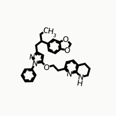 CCC(Cc1cc(OCCc2ccc3c(n2)NCCC3)n(-c2ccccc2)n1)c1ccc2c(c1)OCO2